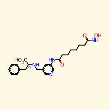 O=C(CCCCCCC(=O)Nc1cncc(CN[C@@H](Cc2ccccc2)C(=O)O)c1)NO